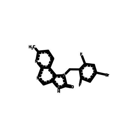 Cc1ccc2c(ncc3[nH]c(=O)n(Cc4c(F)cc(Br)cc4F)c32)n1